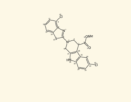 COC(=O)C1CN(c2nc3c(Cl)cccc3s2)Cc2[nH]c3ccc(Cl)cc3c21